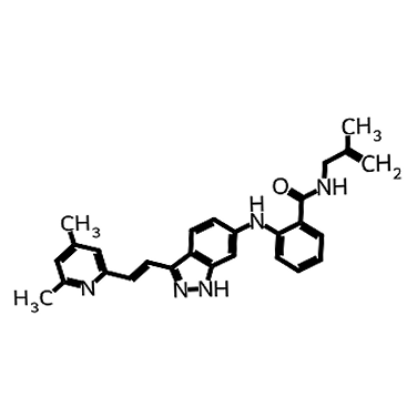 C=C(C)CNC(=O)c1ccccc1Nc1ccc2c(/C=C/c3cc(C)cc(C)n3)n[nH]c2c1